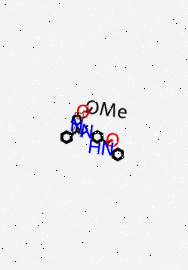 COCO[C@H]1CCN([C@@H](CN(C)c2ccc(C(=O)Nc3ccccc3)cc2)c2ccccc2)C1